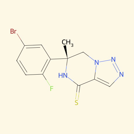 C[C@@]1(c2cc(Br)ccc2F)Cn2nncc2C(=S)N1